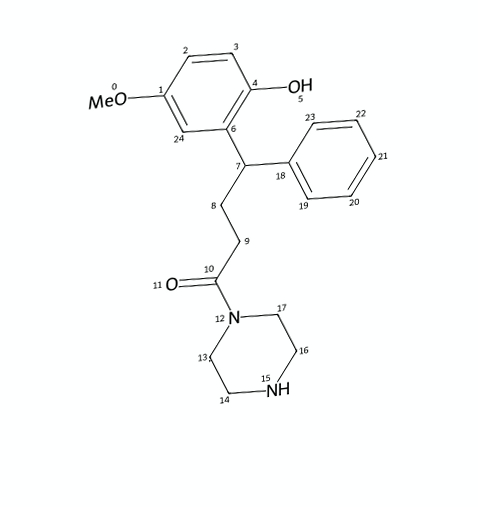 COc1ccc(O)c(C(CCC(=O)N2[CH]CNCC2)c2ccccc2)c1